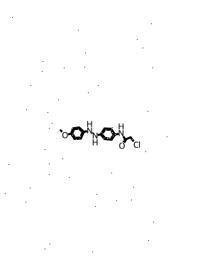 COc1ccc(NNc2ccc(NC(=O)CCl)cc2)cc1